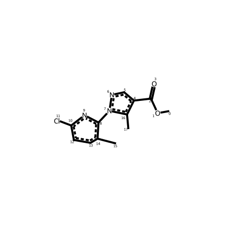 COC(=O)c1cnn(-c2nc(Cl)ccc2C)c1C